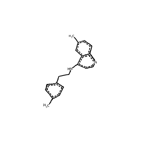 Cc1ccc(CCNc2ccnc3ccc(C)cc23)cc1